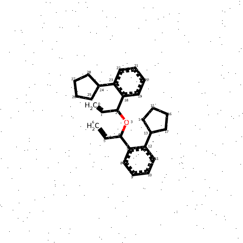 C=CC(OC(C=C)c1ccccc1C1CCCC1)c1ccccc1C1CCCC1